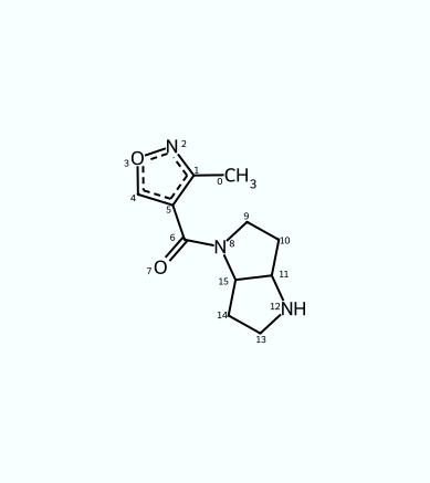 Cc1nocc1C(=O)N1CCC2NCCC21